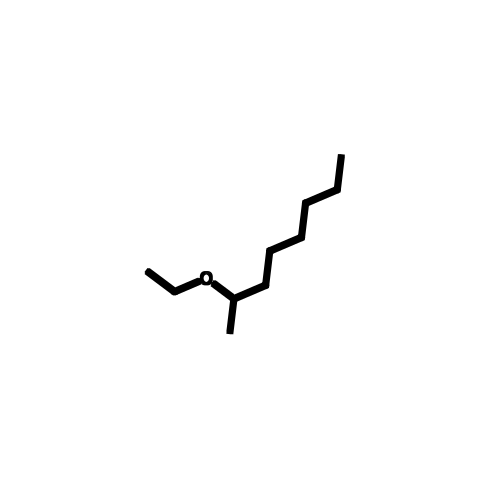 CCCCCCC(C)OCC